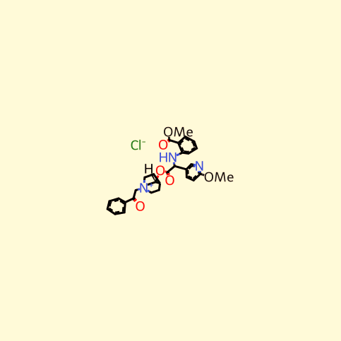 COC(=O)c1ccccc1NC(C(=O)O[C@H]1C[N+]2(CC(=O)c3ccccc3)CCC1CC2)c1ccc(OC)nc1.[Cl-]